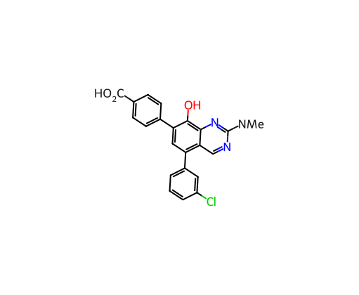 CNc1ncc2c(-c3cccc(Cl)c3)cc(-c3ccc(C(=O)O)cc3)c(O)c2n1